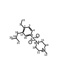 CCc1ccc(S(=O)(=O)N2CCN(C)CC2)cc1CC(C)C